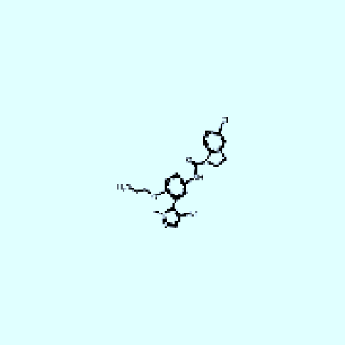 Cn1ncc(Br)c1-c1cc(NC(=O)N2CCc3cc(Cl)ccc32)ccc1OCCN